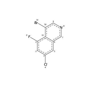 Fc1cc(Cl)cc2cncc(Br)c12